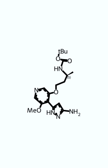 COc1cncc(OCC[C@H](C)NC(=O)OC(C)(C)C)c1-c1cc(N)n[nH]1